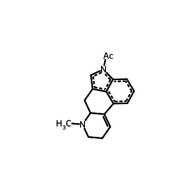 CC(=O)n1cc2c3c(cccc31)C1=CCCN(C)C1C2